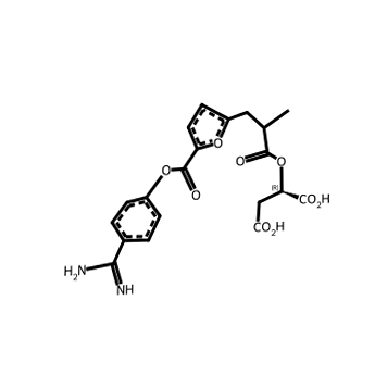 CC(Cc1ccc(C(=O)Oc2ccc(C(=N)N)cc2)o1)C(=O)O[C@H](CC(=O)O)C(=O)O